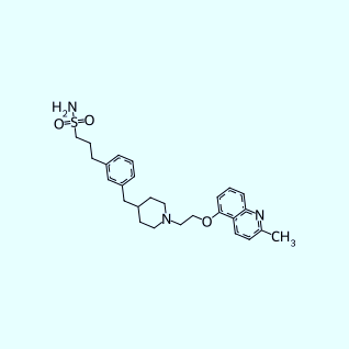 Cc1ccc2c(OCCN3CCC(Cc4cccc(CCCS(N)(=O)=O)c4)CC3)cccc2n1